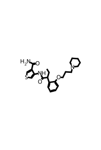 CCC(C(=O)Nc1cscc1C(N)=O)c1ccccc1OCCCN1CCCCC1